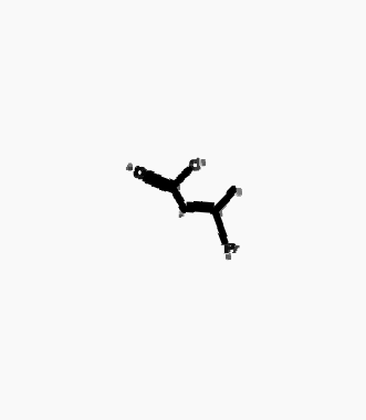 CC(=CC(=O)Cl)C(C)C